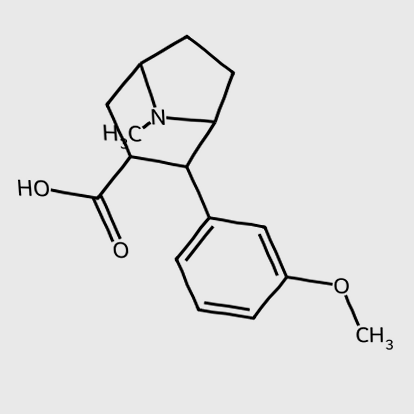 COc1cccc(C2C(C(=O)O)CC3CCC2N3C)c1